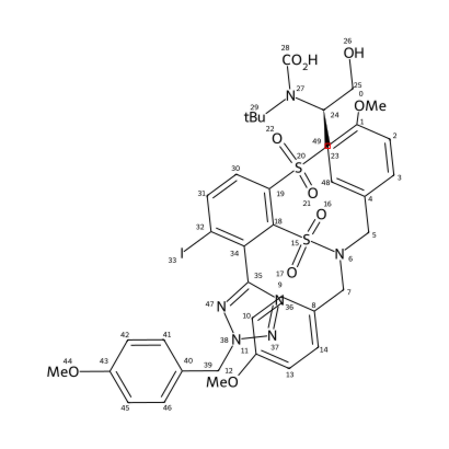 COc1ccc(CN(Cc2ccc(OC)cc2)S(=O)(=O)c2c(S(=O)(=O)C[C@H](CO)N(C(=O)O)C(C)(C)C)ccc(I)c2-c2nnn(Cc3ccc(OC)cc3)n2)cc1